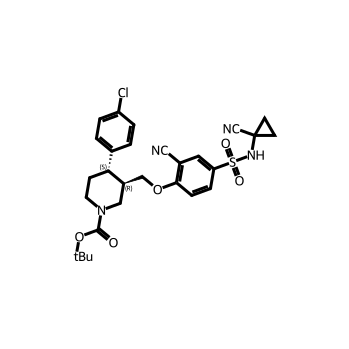 CC(C)(C)OC(=O)N1CC[C@H](c2ccc(Cl)cc2)[C@@H](COc2ccc(S(=O)(=O)NC3(C#N)CC3)cc2C#N)C1